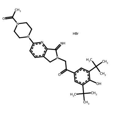 Br.CC(=O)N1CCN(c2ccc3c(n2)C(=N)N(CC(=O)c2cc(C(C)(C)C)c(O)c(C(C)(C)C)c2)C3)CC1